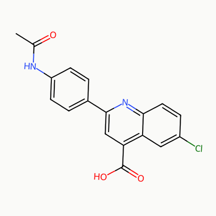 CC(=O)Nc1ccc(-c2cc(C(=O)O)c3cc(Cl)ccc3n2)cc1